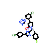 O=c1cc(-c2cc(Cl)ccc2-n2cnnn2)ccn1[C@H](Cc1ccc(F)cc1)c1ncc(-c2ccc(Cl)cc2)[nH]1